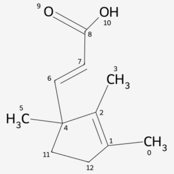 CC1=C(C)C(C)(C=CC(=O)O)CC1